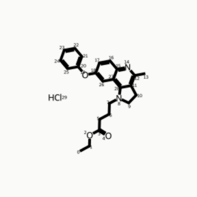 CCOC(=O)CCCN1CCc2c(C)nc3ccc(Oc4ccccc4)cc3c21.Cl